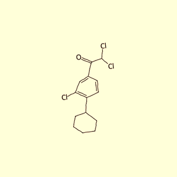 O=C(c1ccc(C2CCCCC2)c(Cl)c1)C(Cl)Cl